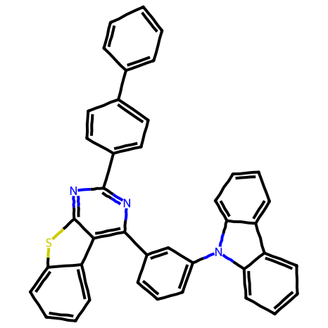 c1ccc(-c2ccc(-c3nc(-c4cccc(-n5c6ccccc6c6ccccc65)c4)c4c(n3)sc3ccccc34)cc2)cc1